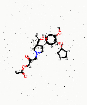 COc1ccc([C@@H]2CN(CC(=O)COC(C)=O)C[C@@]2(C)[C@@H](C)O)cc1OC1CCCC1